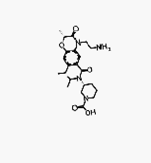 CCc1cc2c(cc1C(=O)N(C(C)C)[C@@H]1CCCN(C(=O)O)C1)N(CCN)C(=O)[C@@H](C)O2